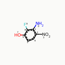 Nc1c([N+](=O)[O-])ccc(O)c1F